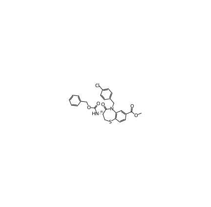 COC(=O)c1ccc2c(c1)N(Cc1ccc(Cl)cc1)C(=O)[C@@H](NC(=O)OCc1ccccc1)CS2